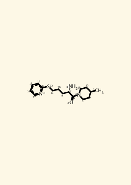 CC1CCN(C(=O)[C@@H](N)CCCSc2ccccn2)CC1